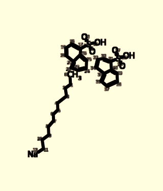 CCCCCCCCCCC[CH2][Na].O=S(=O)(O)c1cccc2ccccc12.O=S(=O)(O)c1cccc2ccccc12